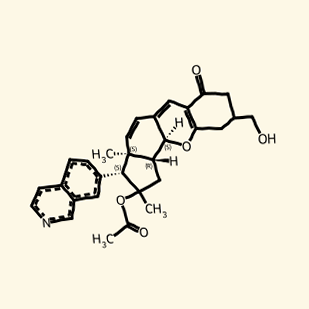 CC(=O)OC1(C)C[C@H]2[C@@H]3OC4=C(C=C3C=C[C@]2(C)[C@H]1c1ccc2ccncc2c1)C(=O)CC(CO)C4